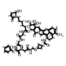 CC[C@]1(O)c2cc3n(c(=O)c2COC1O)Cc1c-3nc2cc(F)c(C)c3c2c1[C@@H](NC(=O)[C@H]1C[C@@H](OCNC(=O)CNC(=O)[C@H](Cc2ccccc2)NC(=O)CNC(=O)CNC(=O)CCCCCN2C(=O)C=CC2O)C1)CC3